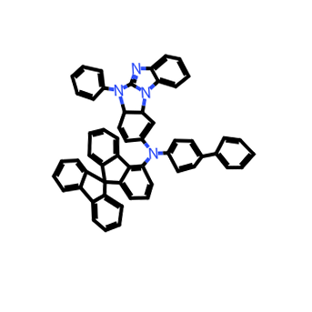 C1=CC2C(C=C1N(c1ccc(-c3ccccc3)cc1)c1cccc3c1-c1ccccc1C31c3ccccc3-c3ccccc31)n1c(nc3ccccc31)N2c1ccccc1